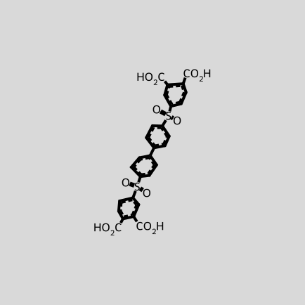 O=C(O)c1ccc(S(=O)(=O)c2ccc(-c3ccc(S(=O)(=O)c4ccc(C(=O)O)c(C(=O)O)c4)cc3)cc2)cc1C(=O)O